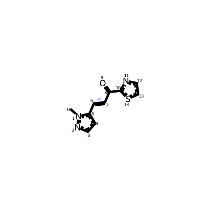 Cn1nccc1/C=C/C(=O)c1nccs1